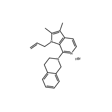 Br.C=CCn1c(C)c(C)c2ccnc(N3CCc4ccccc4C3)c21